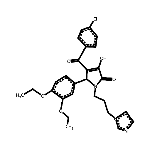 CCOc1ccc(C2C(C(=O)c3ccc(Cl)cc3)=C(O)C(=O)N2CCCn2ccnc2)cc1OCC